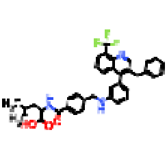 CC(C)C[C@@H](NC(=O)c1ccc(CNc2cccc(-c3c(Cc4ccccc4)cnc4c(C(F)(F)F)cccc34)c2)cc1)C(=O)O